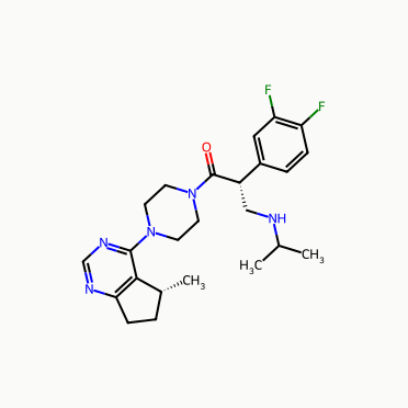 CC(C)NC[C@H](C(=O)N1CCN(c2ncnc3c2[C@H](C)CC3)CC1)c1ccc(F)c(F)c1